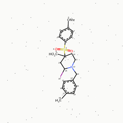 COc1ccc(S(=O)(=O)C2(C(=O)O)CCN(Cc3ccc(C)cc3)C(I)C2)cc1